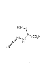 [N-]=[N+]=NNC(CS)C(=O)O